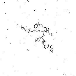 C/C=C/C(O)CC(C)CCCC(C)C